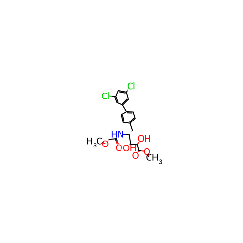 COCC(=O)N[C@H](Cc1ccc(-c2cc(Cl)cc(Cl)c2)cc1)[C@@H](O)[C@@H](O)C(=O)OC